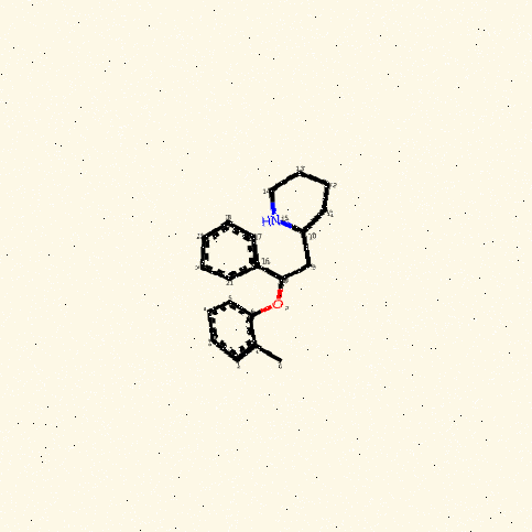 Cc1ccccc1OC(CC1CCCCN1)c1ccccc1